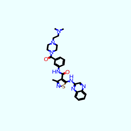 Cc1nsc(Nc2cnc3ccccc3n2)c1C(=O)Nc1cccc(C(=O)N2CCN(CCN(C)C)CC2)c1